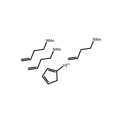 C=CCC[N-]C.C=CCC[N-]C.C=CCC[N-]C.[Hf+3][C]1=CC=CC1